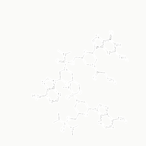 CC(C)P(=O)(OCC1CN(P(=O)(OCC2CN(P(=O)(OCC3CN(C(=O)CN)CC(n4cnc5c(=O)[nH]c(N)nc54)O3)N(C)C)CC(n3cnc4c(N)ncnc43)O2)N(C)C)CC(n2cnc3c(N)ncnc32)O1)N(C)C